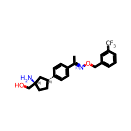 C/C(=N\OCc1cccc(C(F)(F)F)c1)c1ccc([C@@H]2CC[C@](N)(CO)C2)cc1